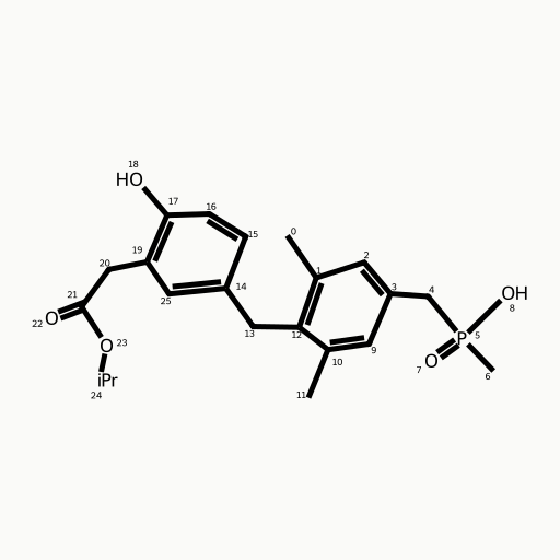 Cc1cc(CP(C)(=O)O)cc(C)c1Cc1ccc(O)c(CC(=O)OC(C)C)c1